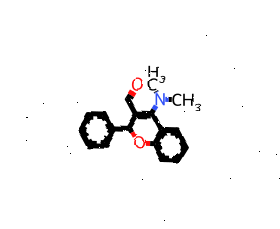 CN(C)C1=C(C=O)C(c2ccccc2)Oc2ccccc21